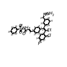 CC/C(=C(/c1ccc(/C=C/C(=O)NS(=O)(=O)c2ccccc2)cc1)c1cccc(/C=N\N)c1)c1ccc(F)cc1Cl